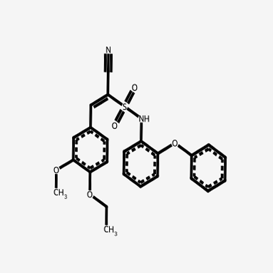 CCOc1ccc(/C=C(/C#N)S(=O)(=O)Nc2ccccc2Oc2ccccc2)cc1OC